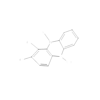 CB1c2ccccc2N(C(C)C)c2c1ccc(C(C)C)c2C(C)C